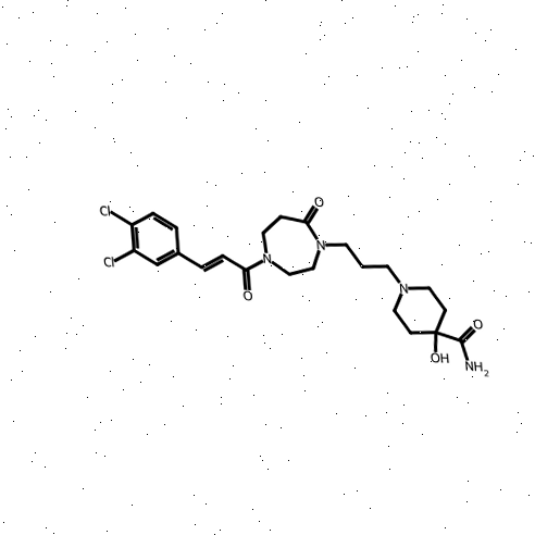 NC(=O)C1(O)CCN(CCCN2CCN(C(=O)/C=C/c3ccc(Cl)c(Cl)c3)CCC2=O)CC1